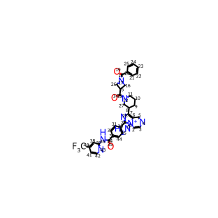 N[N+]12C=CN=CC1=C(C1CCCN(C(=O)C3CN(C(=O)c4ccccc4)C3)C1)N=C2c1ccc(C(=O)Nc2cc(C(F)(F)F)ccn2)cc1